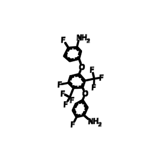 Nc1cc(Oc2cc(F)c(C(F)(F)F)c(Oc3ccc(F)c(N)c3)c2C(F)(F)F)ccc1F